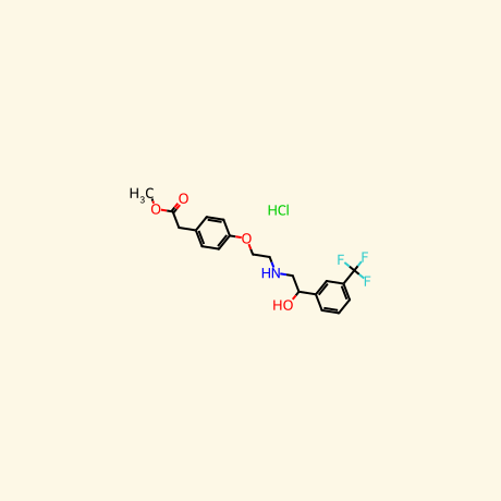 COC(=O)Cc1ccc(OCCNCC(O)c2cccc(C(F)(F)F)c2)cc1.Cl